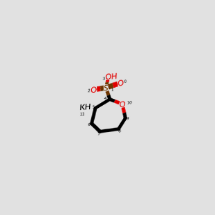 O=S(=O)(O)C1CCCCCO1.[KH]